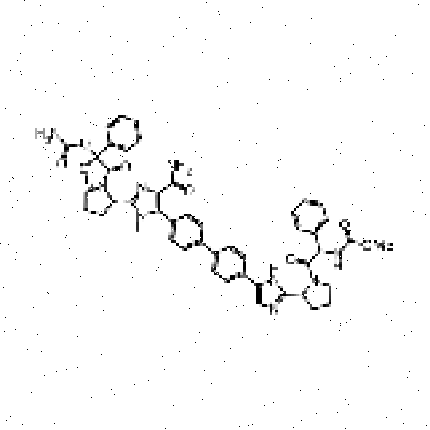 COC(=O)N[C@@H](C(=O)N1CCC[C@H]1c1ncc(-c2ccc(-c3ccc(-c4[nH]c([C@@H]5CCCN5C(=O)[C@](C)(OC(N)=O)c5ccccc5)nc4C(N)=O)cc3)cc2)[nH]1)c1ccccc1